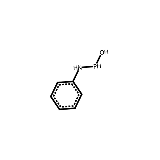 OPNc1ccccc1